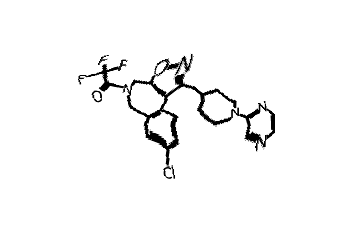 O=C(N1Cc2cc(Cl)ccc2-c2c(C3CCN(c4cnccn4)CC3)noc2C1)C(F)(F)F